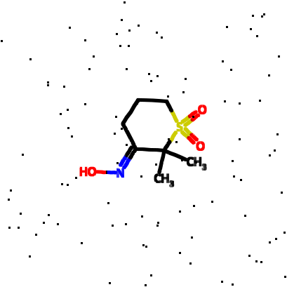 CC1(C)C(=NO)CCCS1(=O)=O